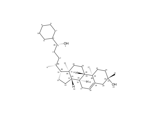 C[C@H](CC[C@@H](O)C1CCCCC1)[C@H]1CC[C@H]2[C@@H]3CC=C4C[C@@](C)(O)CC[C@]4(C)[C@H]3CC[C@]12C